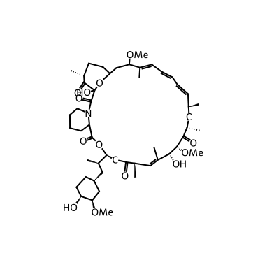 COC1CC2CC[C@@H](C)C(=O)C(O)(O2)C(=O)N2CCCCC2C(=O)O[C@H]([C@H](C)C[C@@H]2CC[C@H](O)[C@H](OC)C2)CC(=O)[C@H](C)/C=C(\C)[C@@H](O)[C@@H](OC)C(=O)[C@@H](C)C[C@H](C)/C=C/C=C/C=C/1C